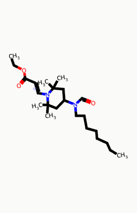 CCCCCCCCN(C=O)C1CC(C)(C)N(/C=C/C(=O)OCC)C(C)(C)C1